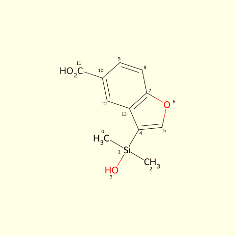 C[Si](C)(O)c1coc2ccc(C(=O)O)cc12